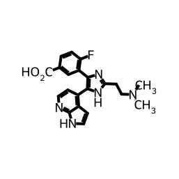 CN(C)CCc1nc(-c2cc(C(=O)O)ccc2F)c(-c2ccnc3[nH]ccc23)[nH]1